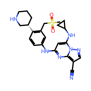 CS(=O)(=O)Cc1cc(Nc2cc(NC3CC3)n3ncc(C#N)c3n2)ccc1[C@H]1CCCNC1